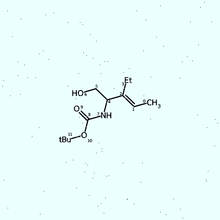 C/C=C(\CC)C(CO)NC(=O)OC(C)(C)C